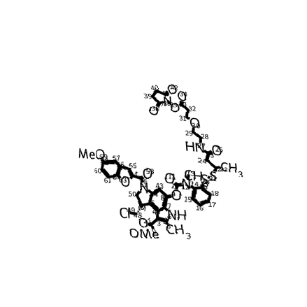 COC(=O)c1c(C)[nH]c2c(OC(=O)N(C)c3ccccc3SSC(C)CC(=O)NCCOCCC(=O)ON3C(=O)CCC3=O)cc3c(c12)[C@H](CCl)CN3C(=O)c1cc2cc(OC)ccc2o1